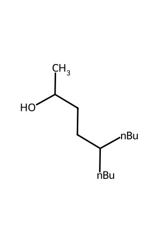 CCCCC(CCCC)CCC(C)O